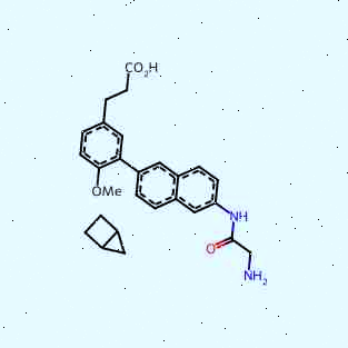 C1CC2CC12.COc1ccc(CCC(=O)O)cc1-c1ccc2cc(NC(=O)CN)ccc2c1